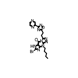 CCCCCn1c2nc(Br)[nH]c2c(=O)n2c(CCc3nc(-c4cnccn4)no3)nnc12